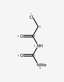 CNC(=O)NC(=O)CCl